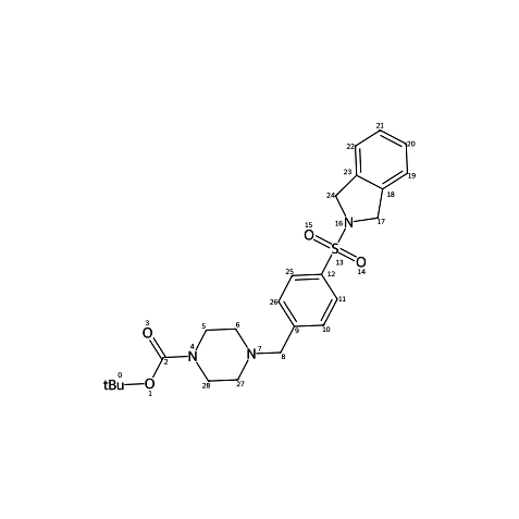 CC(C)(C)OC(=O)N1CCN(Cc2ccc(S(=O)(=O)N3Cc4ccccc4C3)cc2)CC1